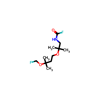 CC(C)(CCOC(C)(C)CNC(=O)F)OCF